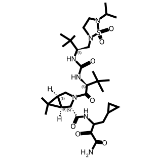 CC(C)N1CCN(C[C@@H](NC(=O)N[C@H](C(=O)N2C[C@H]3[C@@H]([C@H]2C(=O)NC(CC2CC2)C(=O)C(N)=O)C3(C)C)C(C)(C)C)C(C)(C)C)S1(=O)=O